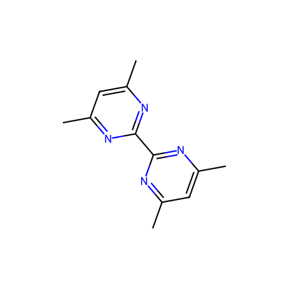 Cc1cc(C)nc(-c2nc(C)cc(C)n2)n1